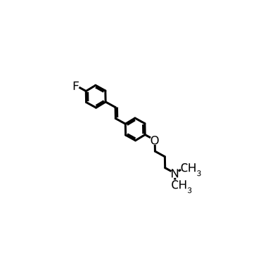 CN(C)CCCOc1ccc(C=Cc2ccc(F)cc2)cc1